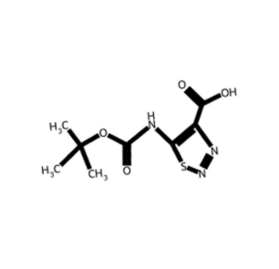 CC(C)(C)OC(=O)Nc1snnc1C(=O)O